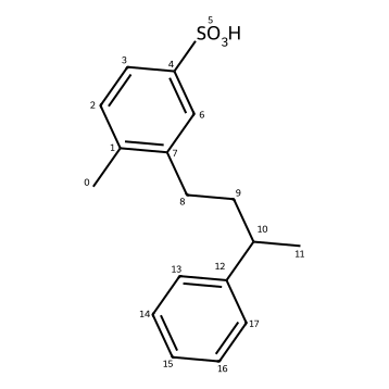 Cc1ccc(S(=O)(=O)O)cc1CCC(C)c1ccccc1